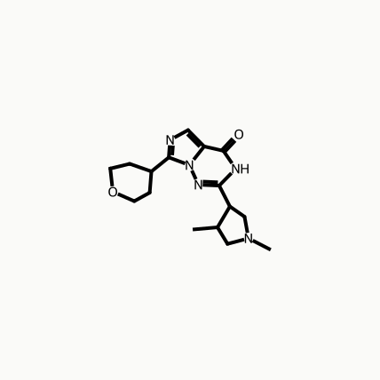 CC1CN(C)CC1c1nn2c(C3CCOCC3)ncc2c(=O)[nH]1